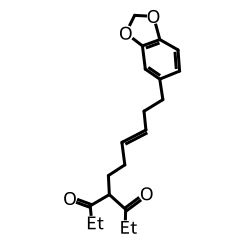 CCC(=O)C(CCC=CCCc1ccc2c(c1)OCO2)C(=O)CC